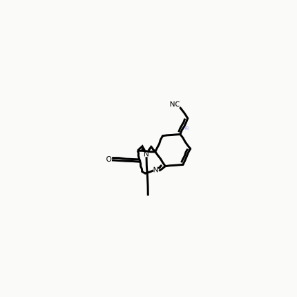 CN1C=C2C(=O)CCN=C3C=C/C(=C/C#N)CC23C1